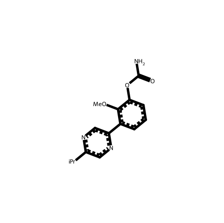 COc1c(OC(N)=O)cccc1-c1cnc(C(C)C)cn1